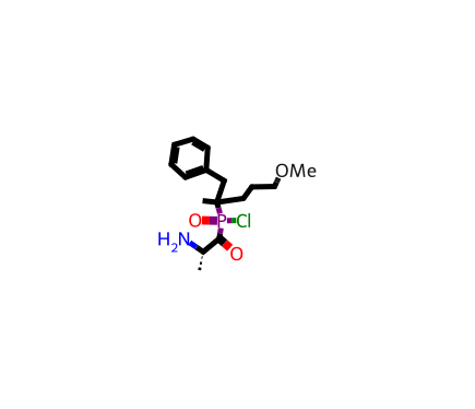 COCCCC(C)(Cc1ccccc1)P(=O)(Cl)C(=O)[C@H](C)N